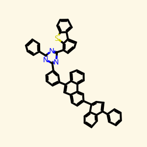 c1ccc(-c2nc(-c3cccc(-c4cc5ccc(-c6ccc(-c7ccccc7)c7ccccc67)cc5c5ccccc45)c3)nc(-c3cccc4c3sc3ccccc34)n2)cc1